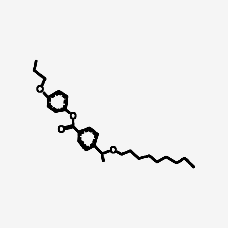 CCCCCCCCCOC(C)c1ccc(C(=O)Oc2ccc(OCCC)cc2)cc1